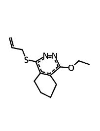 C=CCSc1nnc(OCC)c2c1CCCC2